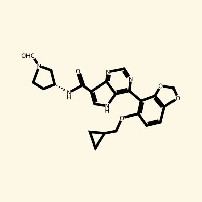 O=CN1CC[C@@H](NC(=O)c2c[nH]c3c(-c4c(OCC5CC5)ccc5c4OCO5)ncnc23)C1